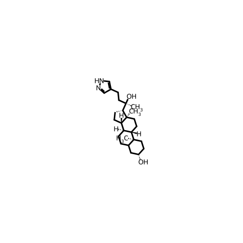 C[C@]12CC[C@H]3[C@@H](CCC4C[C@@H](O)CC[C@@]43C)[C@@H]1CC[C@@H]2[C@](C)(O)CCc1cn[nH]c1